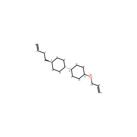 C=CCC[C@H]1CC[C@H](C2CCC(OCC=C)CC2)CC1